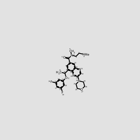 CNCCN(C)C(=O)c1cc(C(C)Oc2cc(F)cc(F)c2)c2nc(N3CCOCC3)cnc2c1